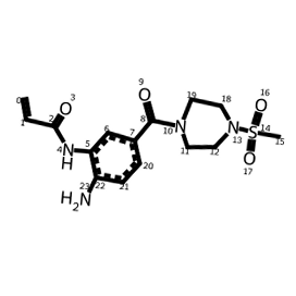 C=CC(=O)Nc1cc(C(=O)N2CCN(S(C)(=O)=O)CC2)ccc1N